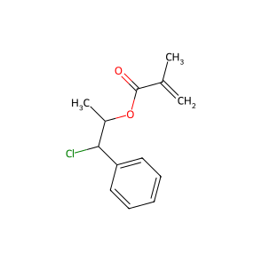 C=C(C)C(=O)OC(C)C(Cl)c1ccccc1